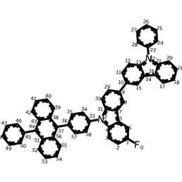 Fc1ccc2c(c1)c1cc(-c3ccc4c(c3)c3ccccc3n4-c3ccccc3)ccc1n2-c1ccc(-c2c3ccccc3c(-c3ccccc3)c3ccccc23)cc1